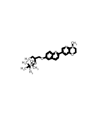 CCC(COc1ccc2nc(-c3cnc4c(c3)OCCN4C)ccc2c1)O[Si](C)(C)C(C)(C)C